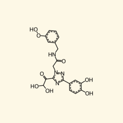 O=C(Cn1nc(-c2ccc(O)c(O)c2)nc1C(=O)C(O)O)NCc1cccc(OO)c1